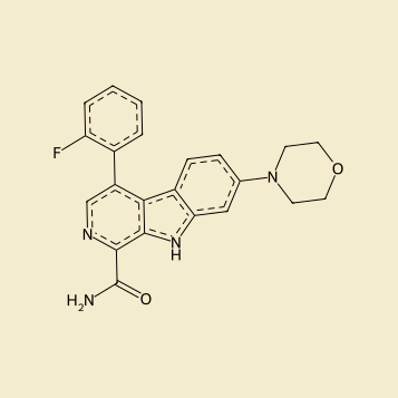 NC(=O)c1ncc(-c2ccccc2F)c2c1[nH]c1cc(N3CCOCC3)ccc12